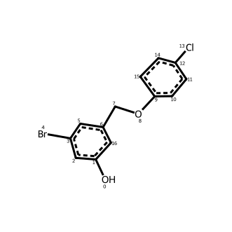 Oc1cc(Br)cc(COc2ccc(Cl)cc2)c1